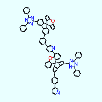 c1ccc(-c2nc(-c3ccccc3)nc(-c3ccc4c(c3)-c3cc(-c5cccc(-c6ccc(-c7cccc8c7Oc7ccccc7C87c8ccc(-c9ccc(-c%10cccnc%10)cc9)cc8-c8cc(-c9nc(-c%10ccccc%10)nc(-c%10ccccc%10)n9)ccc87)nc6)c5)ccc3C43c4ccccc4Oc4ccccc43)n2)cc1